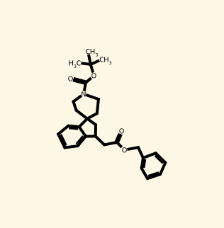 CC(C)(C)OC(=O)N1CCC2(CC1)CC(CC(=O)OCc1ccccc1)c1ccccc12